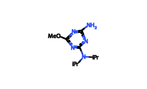 COc1nc(N)nc(N(C(C)C)C(C)C)n1